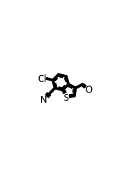 N#Cc1c(Cl)ccc2c(C=O)csc12